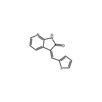 O=C1Nc2ncccc2/C1=C/c1cccs1